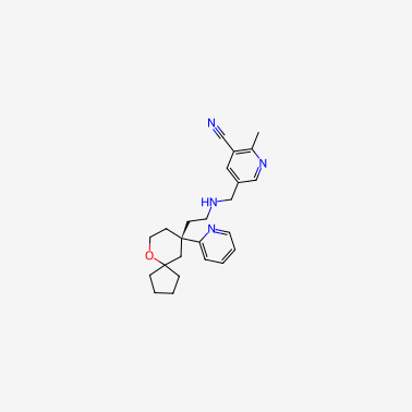 Cc1ncc(CNCC[C@]2(c3ccccn3)CCOC3(CCCC3)C2)cc1C#N